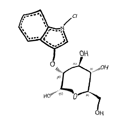 OC[C@H]1O[C@H](O)[C@H](Oc2cn(Cl)c3ccccc23)[C@@H](O)[C@@H]1O